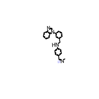 C/N=C\c1ccc(NCc2cccc(-n3cnc4ccccc43)c2)cc1